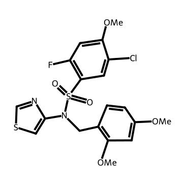 COc1ccc(CN(c2cscn2)S(=O)(=O)c2cc(Cl)c(OC)cc2F)c(OC)c1